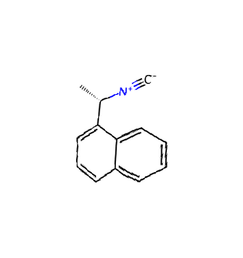 [C-]#[N+][C@@H](C)c1cccc2ccccc12